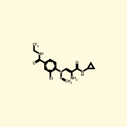 C=NN(/C=C(\N)C(=O)NC1CC1)c1ccc(C(=O)NCC(F)(F)F)cc1CC